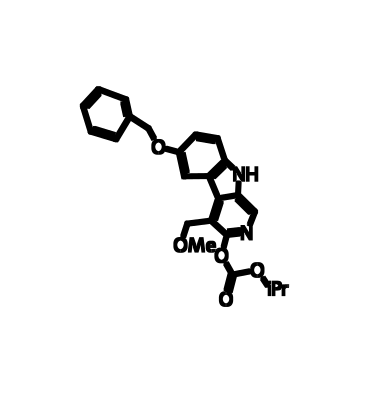 COCc1c(OC(=O)OC(C)C)ncc2[nH]c3ccc(OCc4ccccc4)cc3c12